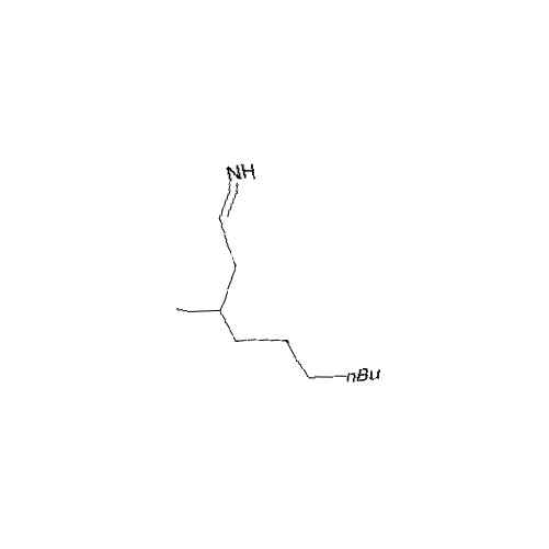 [CH2]CCCCCCC(C)CC=N